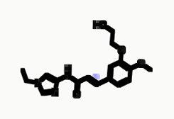 CCn1cnc(NC(=O)/C=C/c2ccc(OC)c(OCCO)c2)c1